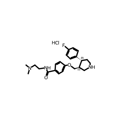 CN(C)CCNC(=O)c1ccc(OC[C@@H]2CNCC[C@H]2c2ccc(F)cc2)cc1.Cl